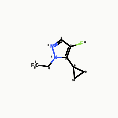 Fc1[c]nn(CC(F)(F)F)c1C1CC1